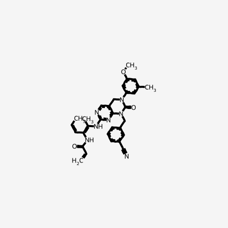 C=CC(=O)NC(/C=C\C)=C(/C)Nc1ncc2c(n1)N(Cc1cccc(C#N)c1)C(=O)N(c1cc(C)cc(OC)c1)C2